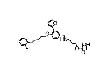 O=[PH](O)OCCCNCc1ccc(OCCCCCc2ccccc2F)c(-c2ccco2)c1